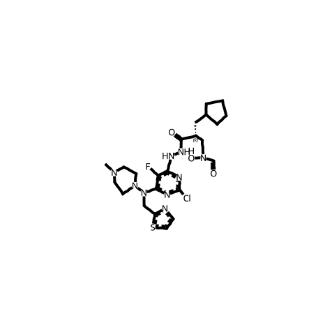 CN1CCN(N(Cc2nccs2)c2nc(Cl)nc(NNC(=O)[C@H](CC3CCCC3)CN(O)C=O)c2F)CC1